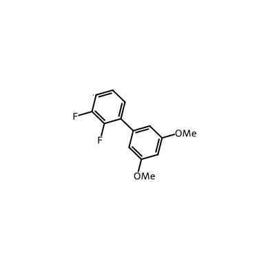 COc1cc(OC)cc(-c2cc[c]c(F)c2F)c1